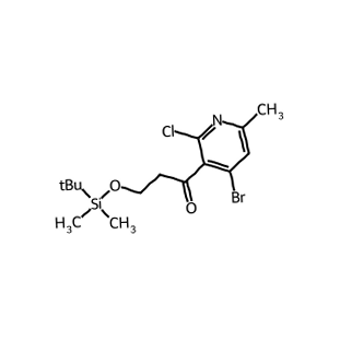 Cc1cc(Br)c(C(=O)CCO[Si](C)(C)C(C)(C)C)c(Cl)n1